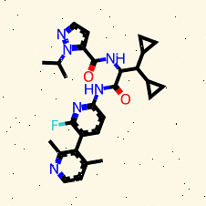 Cc1ccnc(C)c1-c1ccc(NC(=O)C(NC(=O)c2ccnn2C(C)C)C(C2CC2)C2CC2)nc1F